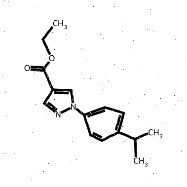 CCOC(=O)c1cnn(-c2ccc(C(C)C)cc2)c1